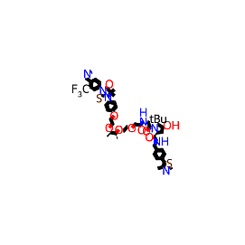 C/N=C\c1ccc(N2C(=O)C(C)(C)N(c3ccc(OCCO[C@H](C)[C@@H](C)OCCOCC(=O)N[C@H](C(=O)N4C[C@H](O)C[C@H]4C(=O)NCc4ccc(-c5scnc5C)cc4)C(C)(C)C)cc3)C2=S)cc1C(F)(F)F